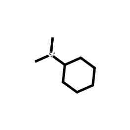 C[S+](C)C1CCCCC1